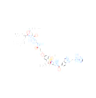 CN[C@@H](CCC(=O)O)C(=O)NC(CCC(=O)O)C(=O)NCCNC(=O)CCCOc1cc(C)c(S(=O)(=O)N[C@@H](CNC(=O)c2ccc3c(cnn3CCCNc3ncc[nH]3)c2)C(=O)O)c(C)c1